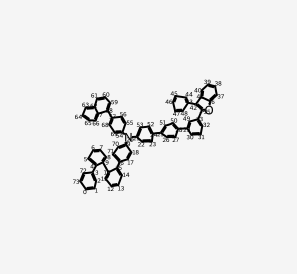 c1ccc(-c2ccccc2-c2ccccc2-c2ccc(N(c3ccc(-c4ccc(-c5cccc(-c6oc7ccccc7c6-c6ccccc6)c5)cc4)cc3)c3ccc(-c4cccc5ccccc45)cc3)cc2)cc1